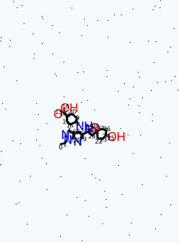 CCn1ncc2c(NC3CCC(C(=O)O)CC3)c(C3=NOC4(CCC(O)CC4)C3)cnc21